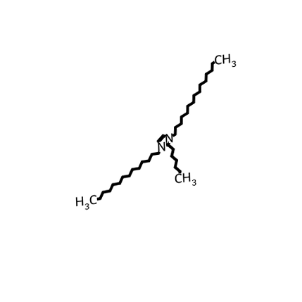 CCCCCCCCCCCCCCCn1cc[n+](CCCCCCCCCCCCCC)c1CCCCCC